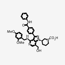 COc1ccc(CNc2ncc(CO)c3c2c(-c2ccc(C(=O)Nc4ccccc4)cc2)nn3[C@@H]2CCCN(C(=O)O)C2)c(OC)c1